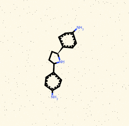 Nc1ccc(C2CC[C@@H](c3ccc(N)cc3)N2)cc1